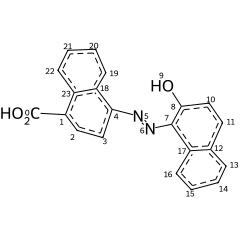 O=C(O)c1ccc(N=Nc2c(O)ccc3ccccc23)c2ccccc12